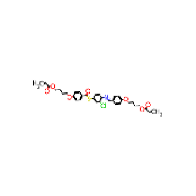 C=CC(=O)OCCCCOc1ccc(/C=N/c2ccc(SC(=O)c3ccc(OCCCCOC(=O)C=C)cc3)cc2Cl)cc1